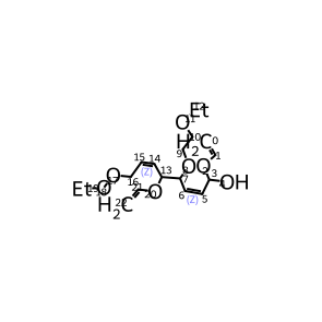 C=COC(O)/C=C\C(OCCOCC)C(/C=C\COOCC)OC=C